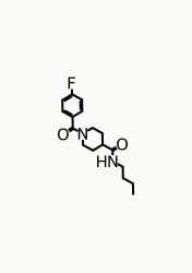 CCCCNC(=O)C1CCN(C(=O)c2ccc(F)cc2)CC1